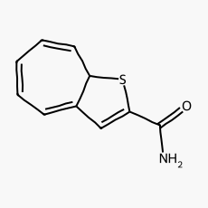 NC(=O)C1=CC2=CC=CC=CC2S1